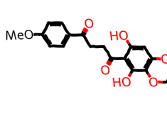 COc1ccc(C(=O)CCC(=O)c2c(O)cc3c(c2O)OCCO3)cc1